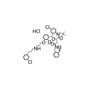 COc1c(OCCCNCCCc2cccc(Cl)c2)cccc1C1OC(CC(=O)NCc2ccccc2F)C(=O)N(CC(C)(C)C)c2ccc(Cl)cc21.Cl